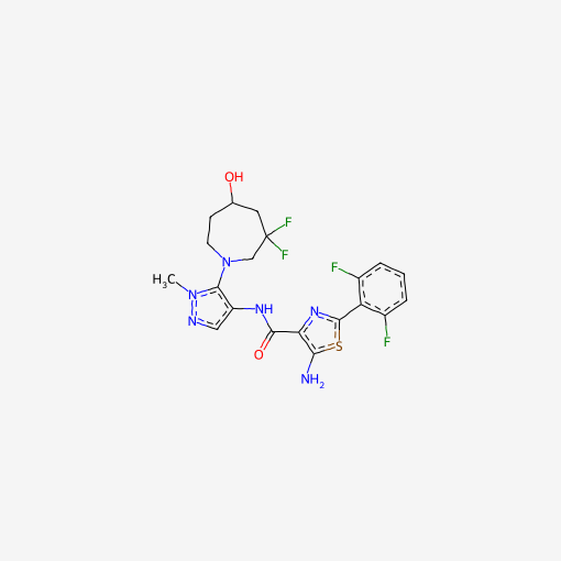 Cn1ncc(NC(=O)c2nc(-c3c(F)cccc3F)sc2N)c1N1CCC(O)CC(F)(F)C1